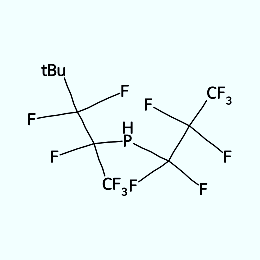 CC(C)(C)C(F)(F)C(F)(PC(F)(F)C(F)(F)C(F)(F)F)C(F)(F)F